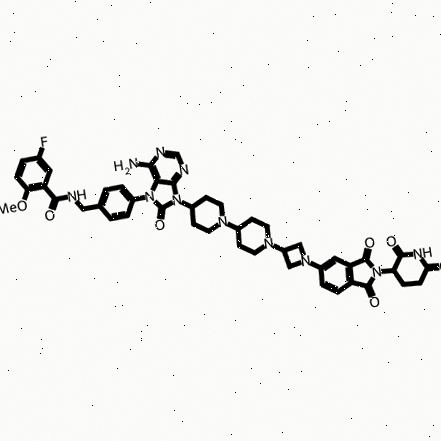 COc1ccc(F)cc1C(=O)NCc1ccc(-n2c(=O)n(C3CCN(C4CCN(C5CN(c6ccc7c(c6)C(=O)N(C6CCC(=O)NC6=O)C7=O)C5)CC4)CC3)c3ncnc(N)c32)cc1